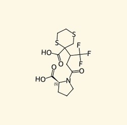 O=C(O)[C@@H]1CCCN1C(=O)CC(C(F)(F)F)C1(C(=O)O)CSCCS1